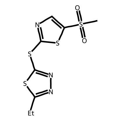 CCc1nnc(Sc2ncc(S(C)(=O)=O)s2)s1